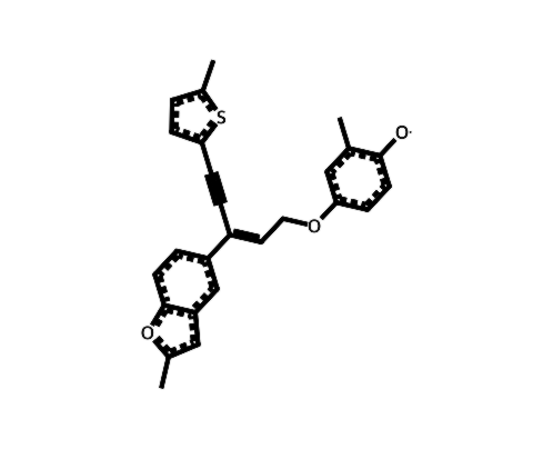 Cc1cc2cc(C(C#Cc3ccc(C)s3)=CCOc3ccc([O])c(C)c3)ccc2o1